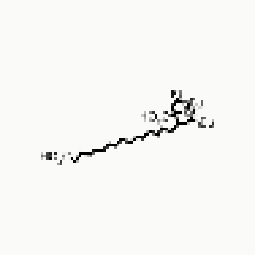 CCCCC(CC)CC(CCCCCCCCCCCCCCCC(=O)O)C(CC(CC)CCCC)(C(=O)O)C(C)C